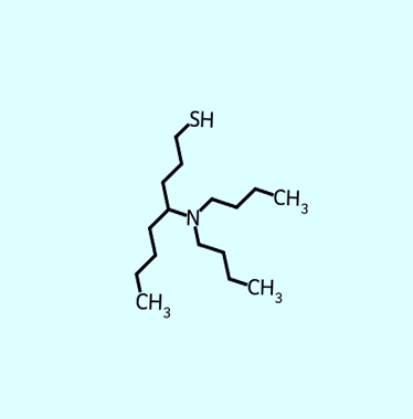 CCCCC(CCCS)N(CCCC)CCCC